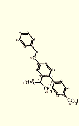 CCCCCCC(c1cc(OCc2ccccc2)ccc1-c1ccc(C(=O)O)cc1)C(F)(F)F